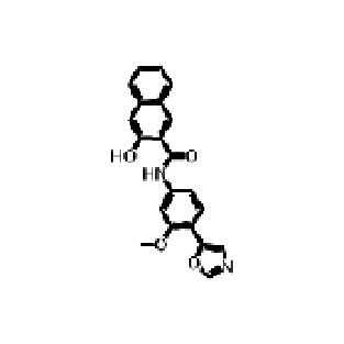 COc1cc(NC(=O)c2cc3ccccc3cc2O)ccc1-c1cnco1